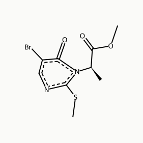 COC(=O)[C@@H](C)n1c(SC)ncc(Br)c1=O